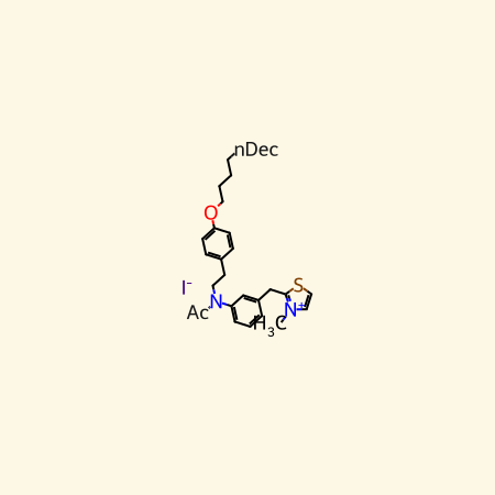 CCCCCCCCCCCCCCOc1ccc(CCN(C(C)=O)c2cccc(Cc3scc[n+]3C)c2)cc1.[I-]